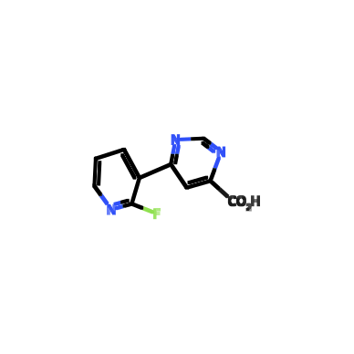 O=C(O)c1cc(-c2cccnc2F)ncn1